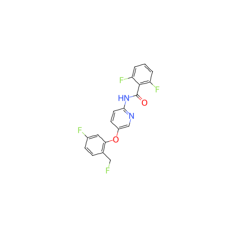 O=C(Nc1ccc(Oc2cc(F)ccc2CF)cn1)c1c(F)cccc1F